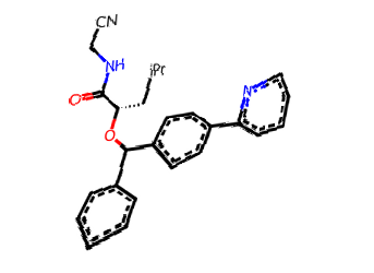 CC(C)C[C@H](OC(c1ccccc1)c1ccc(-c2ccccn2)cc1)C(=O)NCC#N